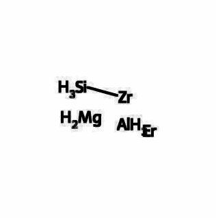 [AlH3].[Er].[MgH2].[SiH3][Zr]